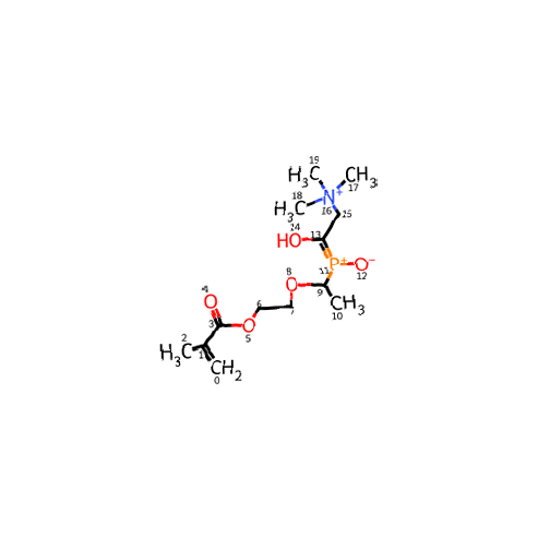 C=C(C)C(=O)OCCOC(C)/[P+]([O-])=C(\O)C[N+](C)(C)C